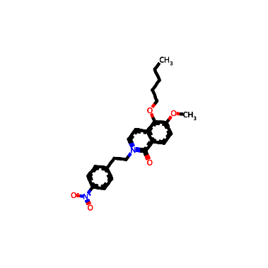 CCCCCOc1c(OC)ccc2c(=O)n(CCc3ccc([N+](=O)[O-])cc3)ccc12